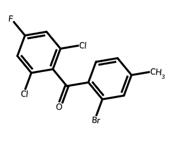 Cc1ccc(C(=O)c2c(Cl)cc(F)cc2Cl)c(Br)c1